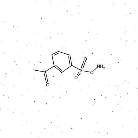 CC(=O)c1cccc(S(=O)(=O)ON)c1